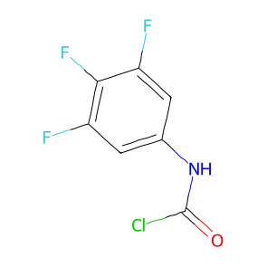 O=C(Cl)Nc1cc(F)c(F)c(F)c1